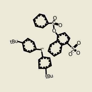 CC(C)(C)c1ccc([I+]c2ccc(C(C)(C)C)cc2)cc1.O=S(=O)([O-])c1ccc(OS(=O)(=O)c2ccccc2)c2ccccc12